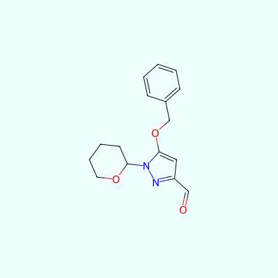 O=Cc1cc(OCc2ccccc2)n(C2CCCCO2)n1